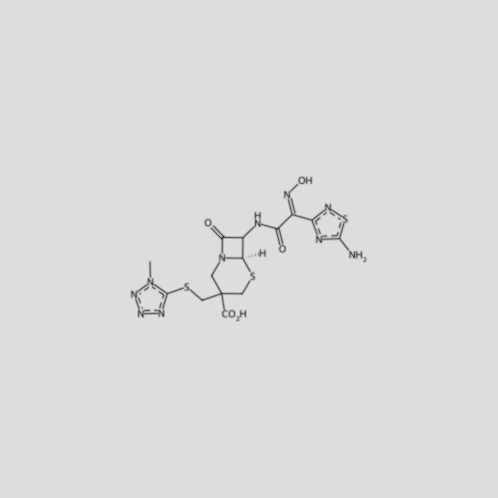 Cn1nnnc1SCC1(C(=O)O)CS[C@@H]2C(NC(=O)C(=NO)c3nsc(N)n3)C(=O)N2C1